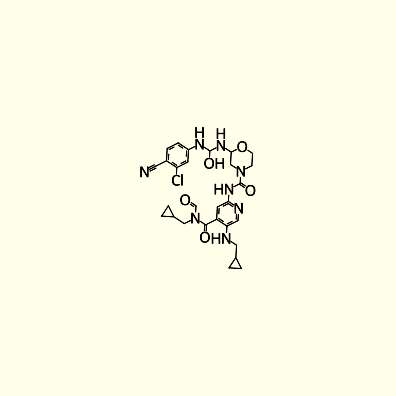 N#Cc1ccc(NC(O)NC2CN(C(=O)Nc3cc(C(=O)N(C=O)CC4CC4)c(NCC4CC4)cn3)CCO2)cc1Cl